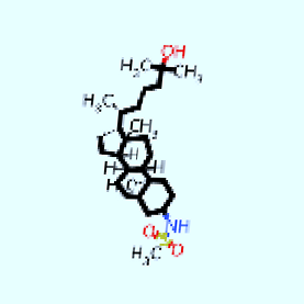 C[C@H](CCCC(C)(C)O)[C@H]1CC[C@H]2[C@@H]3CCC4CC(NS(C)(=O)=O)CC[C@]4(C)[C@H]3CC[C@]12C